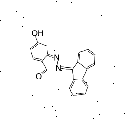 O=CC1=CC=C(O)CC1=NN=C1c2ccccc2-c2ccccc21